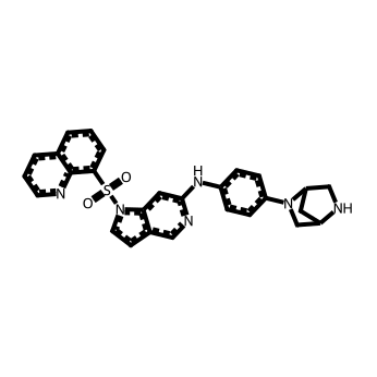 O=S(=O)(c1cccc2cccnc12)n1ccc2cnc(Nc3ccc(N4CC5CC4CN5)cc3)cc21